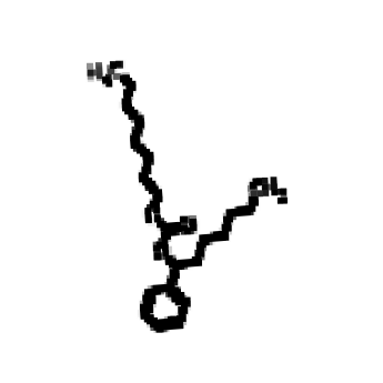 CCCCCCCCOC(=O)OC(CCCCCC)c1ccccc1